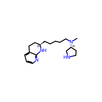 CN(CCCCC[C@@H]1CCc2cccnc2N1)[C@@H]1CCNC1